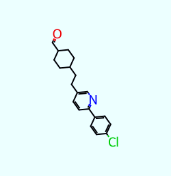 O=CC1CCC(CCc2ccc(-c3ccc(Cl)cc3)nc2)CC1